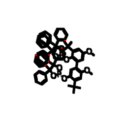 COc1cc(-c2cc(OP3OC(c4ccccc4)(c4ccccc4)C(c4ccccc4)(c4ccccc4)O3)c(C(C)(C)C)cc2OC)c(OP2OC(c3ccccc3)(c3ccccc3)C(c3ccccc3)(c3ccccc3)O2)c(C(C)(C)C)c1